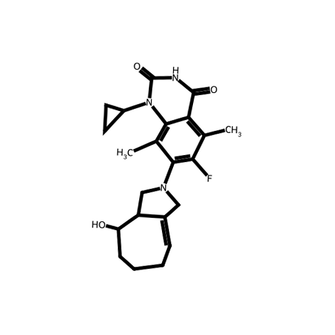 Cc1c(F)c(N2CC3=CCCCC(O)C3C2)c(C)c2c1c(=O)[nH]c(=O)n2C1CC1